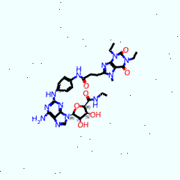 CCNC(=O)[C@@H]1O[C@@H](n2cnc3c(N)nc(Nc4ccc(NC(=O)CCc5nc6c(c(=O)n(CC)c(=O)n6CC)n5C)cc4)nc32)[C@H](O)[C@@H]1O